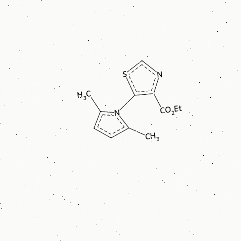 CCOC(=O)c1ncsc1-n1c(C)ccc1C